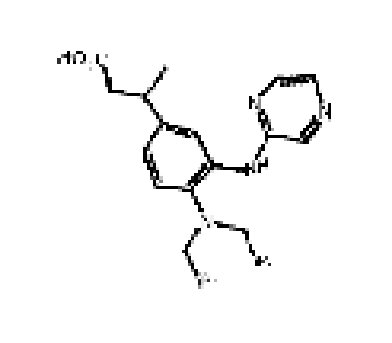 CC(C)CN(CC(C)C)c1ccc(C(C)CC(=O)O)cc1Nc1cnccn1